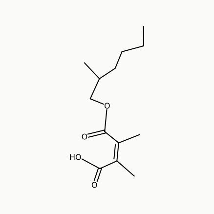 CCCCC(C)COC(=O)/C(C)=C(/C)C(=O)O